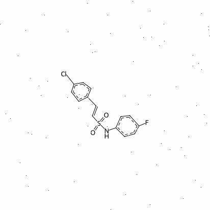 O=S(=O)(C=Cc1ccc(Cl)cc1)Nc1ccc(F)cc1